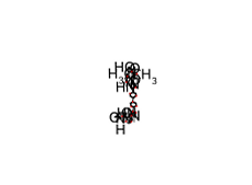 C[C@@H](C(=O)N1CCC[C@H]1c1ncc(-c2ccc(-c3ccc(-c4cnc([C@@H]5CCCN5C(=O)[C@@H]5CC(=O)N5)[nH]4)cc3)cc2)[nH]1)N(C)C(=O)O